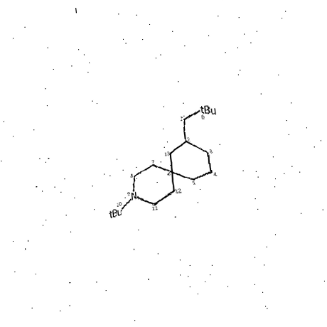 CC(C)(C)CC1CCCC2(CCN(C(C)(C)C)CC2)C1